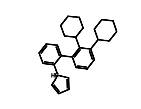 C1=C[SiH](c2ccccc2-c2cccc(C3CCCCC3)c2C2CCCCC2)C=C1